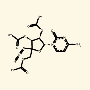 CC(C)C(=O)OCC1(N=[N+]=[N-])O[C@@H](n2ccc(N)nc2=O)[C@H](OC(=O)C(C)C)[C@@H]1OC(=O)C(C)C